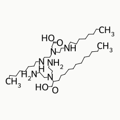 CCCCCCCCCCCCC(C(=O)O)N(CCN)CCN.CCCCCCCCNCCN(CCNCCCCCCCC)CC(=O)O